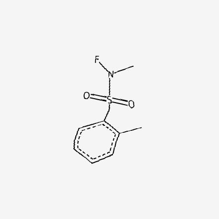 Cc1ccccc1S(=O)(=O)N(C)F